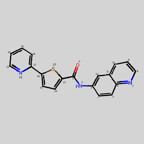 O=C(Nc1ccc2ncccc2c1)c1ccc(-c2ccccn2)s1